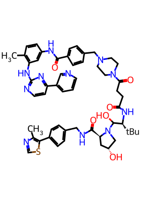 Cc1ccc(NC(=O)c2ccc(CN3CCN(C(=O)CCC(=O)N[C@H](C(O)N4C[C@H](O)C[C@H]4C(=O)NCc4ccc(-c5scnc5C)cc4)C(C)(C)C)CC3)cc2)cc1Nc1nccc(-c2cccnc2)n1